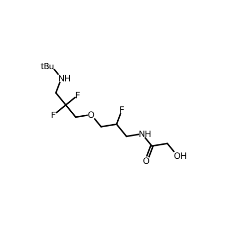 CC(C)(C)NCC(F)(F)COCC(F)CNC(=O)CO